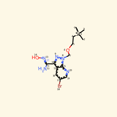 C[Si](C)(C)CCOCn1nc(/C(N)=N/O)c2cc(Br)cnc21